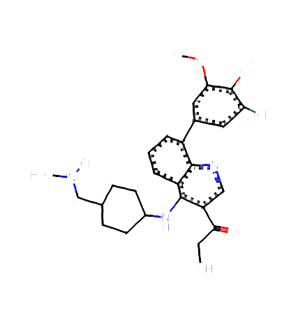 CCC(=O)c1cnc2c(-c3cc(Cl)c(O)c(OC)c3)cccc2c1NC1CCC(CN(C)C)CC1